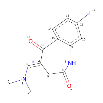 CN(C)/C=C1\CC(=O)Nc2cc(I)ccc2C1=O